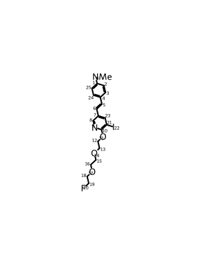 CNc1ccc(/C=C/c2cnc(OCCOCCOCCF)c(I)c2)cc1